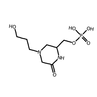 O=C1CN(CCCO)CC(COP(=O)(O)O)N1